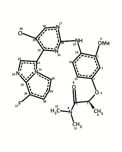 COc1cc(O[C@@H](C)C(=O)N(C)C)ccc1Nc1ncc(Cl)c(-c2cnc3c(F)cccn23)n1